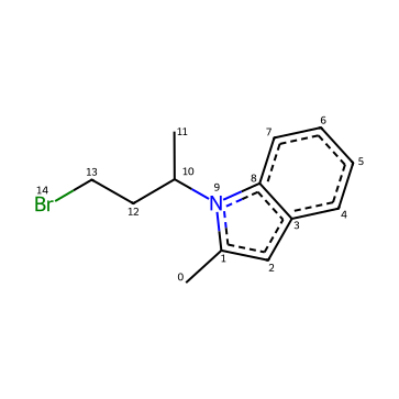 Cc1cc2ccccc2n1C(C)CCBr